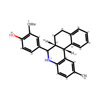 COc1cc(C2Nc3ccc(C#N)cc3[C@H]3c4ccccc4CC[C@@H]23)ccc1O